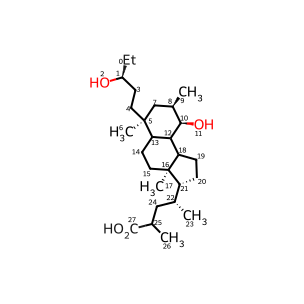 CC[C@H](O)CC[C@@]1(C)C[C@@H](C)[C@@H](O)C2C1CC[C@@]1(C)C2CC[C@@H]1[C@H](C)CC(C)C(=O)O